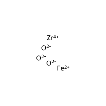 [Fe+2].[O-2].[O-2].[O-2].[Zr+4]